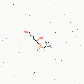 O=[PH](C[CH]([Na])[Na])OCC(O)CCCCO